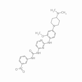 COc1cc(N2CCC(N(C)C)CC2)ccc1Nc1nccc(NC(=O)Nc2cccc([N+](=O)[O-])c2)n1